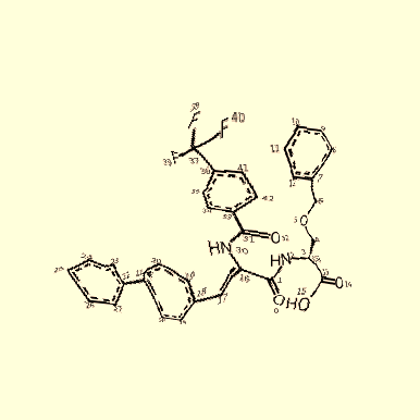 O=C(N[C@@H](COCc1ccccc1)C(=O)O)C(=Cc1ccc(-c2ccccc2)cc1)NC(=O)c1ccc(C(F)(F)F)cc1